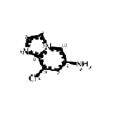 Nc1cc(Cl)c2nccn2c1